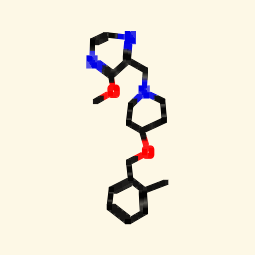 COc1nccnc1CN1CCC(OCc2ccccc2C)CC1